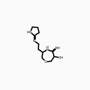 N=C1NC(CC/N=C2\CCCN2)COCC1O